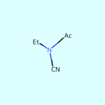 CCN(C#N)C(C)=O